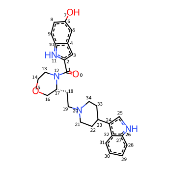 O=C(c1cc2cc(O)ccc2[nH]1)N1CCOC[C@H]1CCN1CCC(c2c[nH]c3ccccc23)CC1